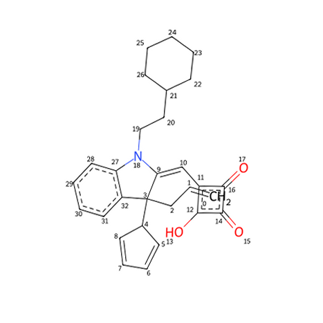 C=CCC1(C2C=CC=C2)/C(=C\c2c(O)c(=O)c2=O)N(CCC2CCCCC2)c2ccccc21